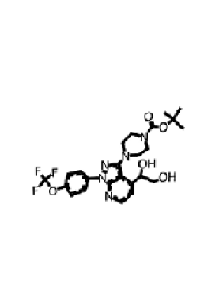 CC(C)(C)OC(=O)N1CCN(c2nn(-c3ccc(OC(F)(F)F)cc3)c3nccc(C(O)CO)c23)CC1